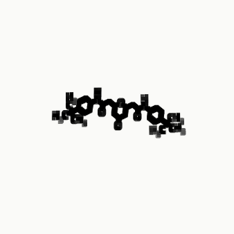 CC(C)(C)c1ccc(NC(=O)Cc2cc(=O)cc(CC(=O)Nc3ccc(C(C)(C)C)cc3)o2)cc1